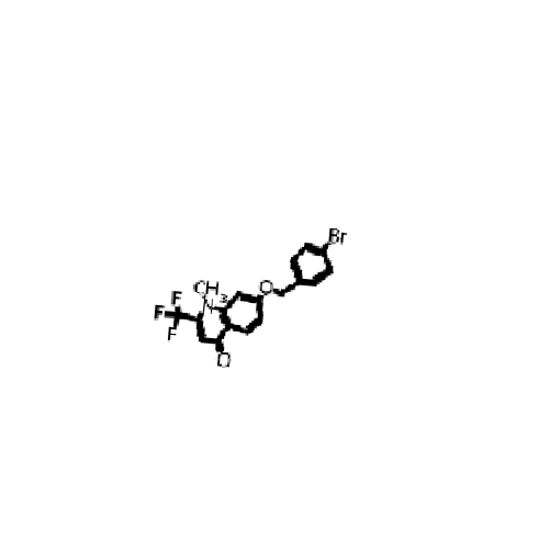 Cn1c(C(F)(F)F)cc(=O)c2ccc(OCc3ccc(Br)cc3)cc21